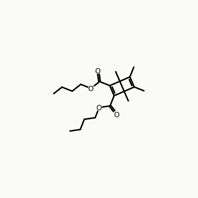 CCCCOC(=O)C1=C(C(=O)OCCCC)C2(C)C(C)=C(C)C12C